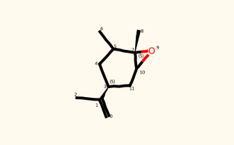 C=C(C)[C@H]1CC(C)[C@]2(C)OC2C1